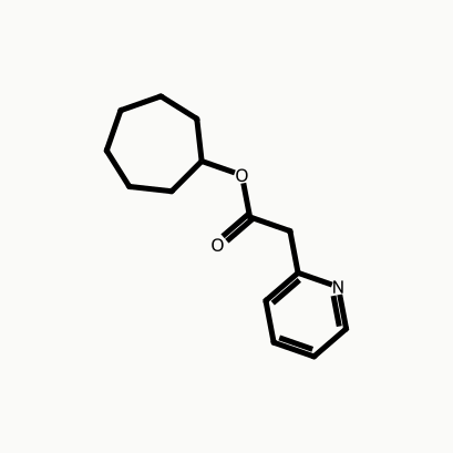 O=C(Cc1ccccn1)OC1CCCCCC1